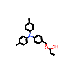 C=CC(O)OCc1ccc(N(c2ccc(C)cc2)c2ccc(C)cc2)cc1